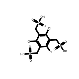 O=S(=O)(O)Cc1c(Cl)c(CS(=O)(=O)O)c(Cl)c(CS(=O)(=O)O)c1Cl